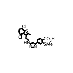 CSc1cc(-c2cc(NCCc3c(C)sc4c(Cl)ccc(Cl)c34)ncn2)ccc1C(=O)O